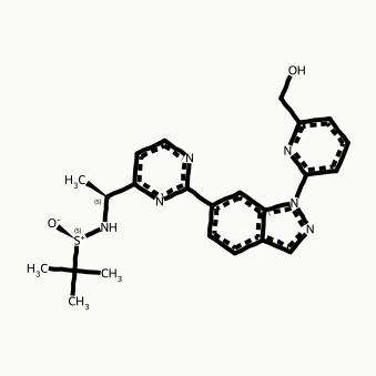 C[C@H](N[S@+]([O-])C(C)(C)C)c1ccnc(-c2ccc3cnn(-c4cccc(CO)n4)c3c2)n1